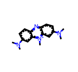 CN(C)c1ccc2nc3ccc(N(C)C)cc3[n+](C)c2c1